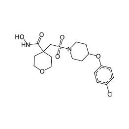 O=C(NO)C1(CS(=O)(=O)N2CCC(Oc3ccc(Cl)cc3)CC2)CCOCC1